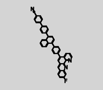 N#Cc1ccc(-c2ccc(-c3ccc(-c4ccc(-c5cc6cc7ccc(F)cc7nc6c6ncccc56)cc4)c4ccccc34)cc2)cc1